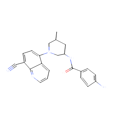 CC1CC(NC(=O)c2ccc(N)cc2)CN(c2ccc(C#N)c3ncccc23)C1